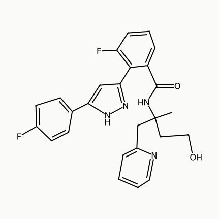 CC(CCO)(Cc1ccccn1)NC(=O)c1cccc(F)c1-c1cc(-c2ccc(F)cc2)[nH]n1